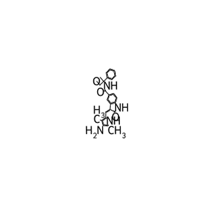 Cc1[nH]c(/C=C2\C(=O)Nc3ccc(C(=O)NC4(c5ccccc5)COC4)cc32)c(C)c1N